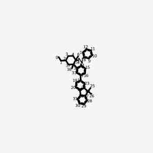 CCC1CCC2(C)N(c3ccccc3)c3ccc(-c4ccc5c(c4)C(C)(C)c4ccccc4-5)cc3C2(C)C1